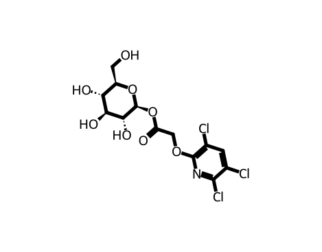 O=C(COc1nc(Cl)c(Cl)cc1Cl)O[C@@H]1O[C@H](CO)[C@@H](O)[C@H](O)[C@H]1O